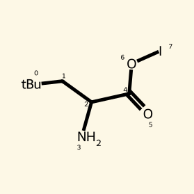 CC(C)(C)CC(N)C(=O)OI